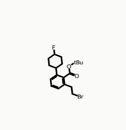 CC(C)(C)OC(=O)c1c(CCBr)cccc1C1CCC(F)CC1